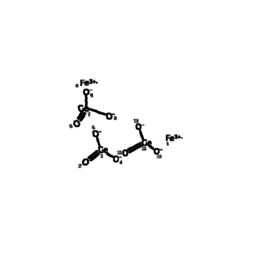 [Fe+3].[Fe+3].[O]=[Ge]([O-])[O-].[O]=[Ge]([O-])[O-].[O]=[Ge]([O-])[O-]